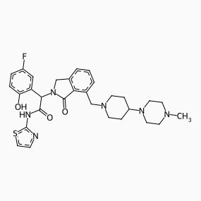 CN1CCN(C2CCN(Cc3cccc4c3C(=O)N(C(C(=O)Nc3nccs3)c3cc(F)ccc3O)C4)CC2)CC1